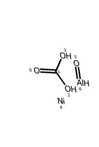 O=C(O)O.[Ni].[O]=[AlH]